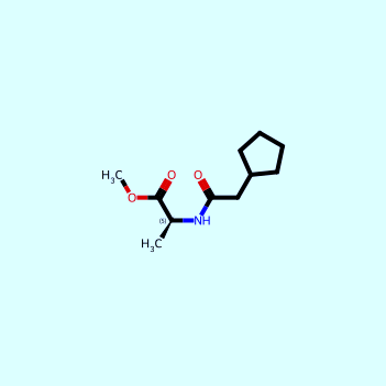 COC(=O)[C@H](C)NC(=O)CC1CCCC1